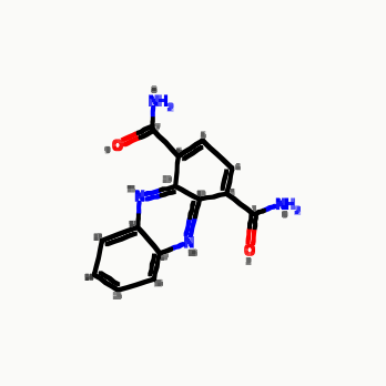 NC(=O)c1ccc(C(N)=O)c2nc3ccccc3nc12